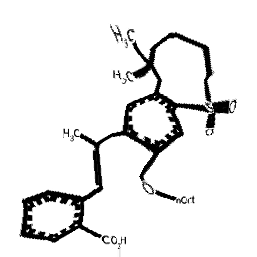 CCCCCCCCOc1cc2c(cc1/C(C)=C/c1ccccc1C(=O)O)C(C)(C)CCCS2(=O)=O